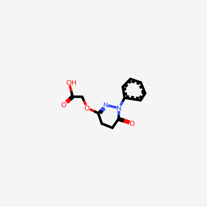 O=C(O)COC1=NN(c2ccccc2)C(=O)CC1